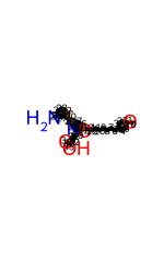 COc1ccc(CCCCCCCCOc2ccc(CSc3cccc(N)c3)nc2C=CCC(=O)O)cc1